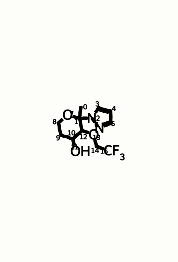 CC1(n2cccn2)OCCC(O)C1OCC(F)(F)F